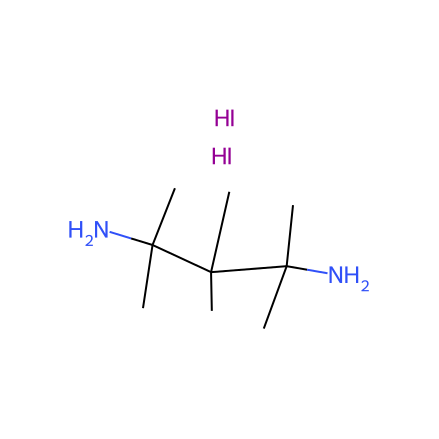 CC(C)(N)C(C)(C)C(C)(C)N.I.I